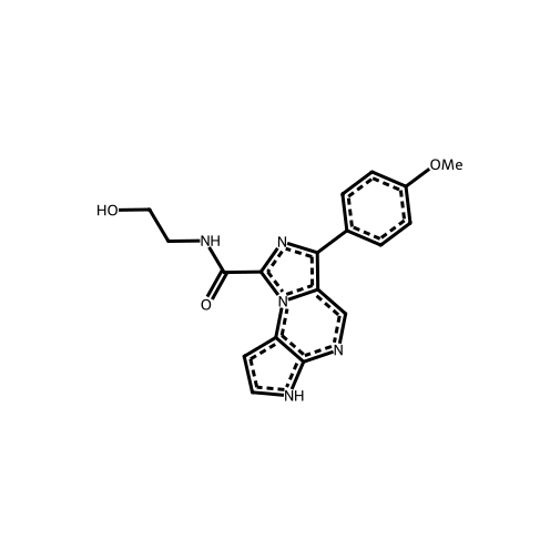 COc1ccc(-c2nc(C(=O)NCCO)n3c2cnc2[nH]ccc23)cc1